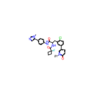 CC(C)n1cc(-c2ccc(Cl)c(CC(NC(=O)C3(F)CCC3)C(=O)Nc3ccc(-c4cncn4C)cc3)c2)ccc1=O